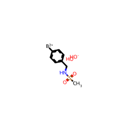 [B+2]c1ccc(CNS(C)(=O)=O)cc1.[OH-].[OH-]